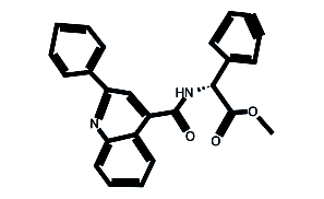 COC(=O)[C@H](NC(=O)c1cc(-c2ccccc2)nc2ccccc12)c1cc#ccc1